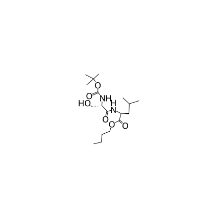 CCCCOC(=O)[C@H](CC(C)C)NC(=O)[C@H](CO)NC(=O)OC(C)(C)C